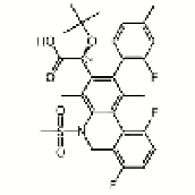 Cc1ccc(-c2c(C)c3c(c(C)c2[C@H](OC(C)(C)C)C(=O)O)N(S(C)(=O)=O)Cc2c(F)ccc(F)c2-3)c(F)c1